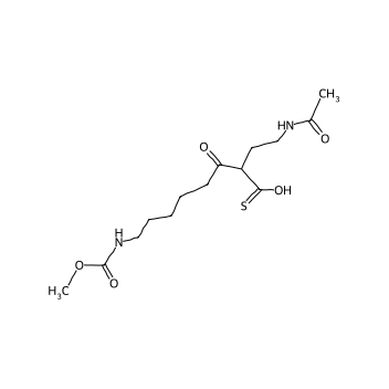 COC(=O)NCCCCCC(=O)C(CCNC(C)=O)C(O)=S